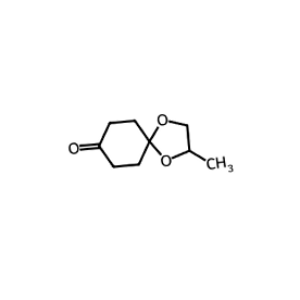 CC1COC2(CCC(=O)CC2)O1